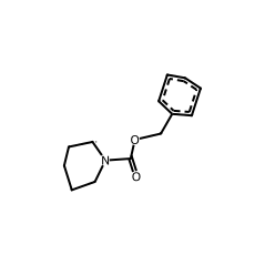 O=C(OCc1ccccc1)N1[CH]CCCC1